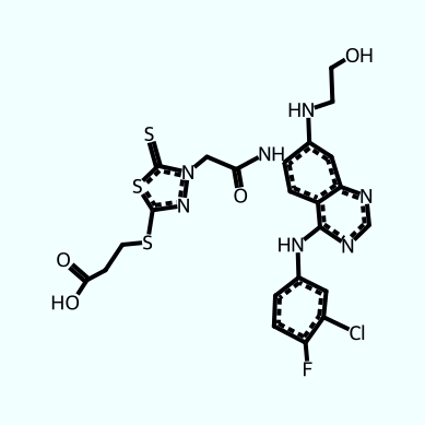 O=C(O)CCSc1nn(CC(=O)Nc2cc3c(Nc4ccc(F)c(Cl)c4)ncnc3cc2NCCO)c(=S)s1